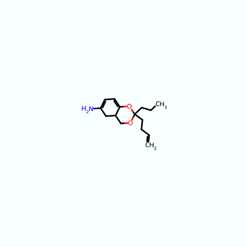 C=CCCC1(CCC)OCC2CC(N)=CC=C2O1